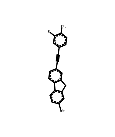 CCCc1ccc2c(c1)Cc1cc(C#Cc3ccc(C(F)(F)F)c(F)c3)ccc1-2